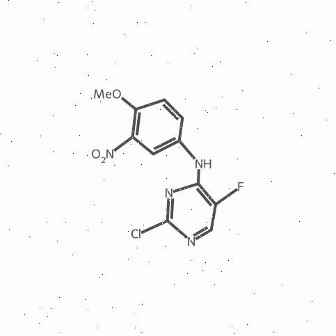 COc1ccc(Nc2nc(Cl)ncc2F)cc1[N+](=O)[O-]